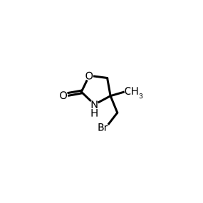 CC1(CBr)COC(=O)N1